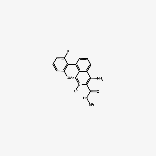 CCCNC(=O)c1c(N)c2cccc(-c3c(F)cccc3OC)c2c[n+]1[O-]